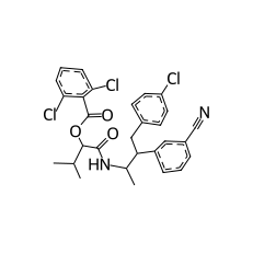 CC(C)C(OC(=O)c1c(Cl)cccc1Cl)C(=O)NC(C)C(Cc1ccc(Cl)cc1)c1cccc(C#N)c1